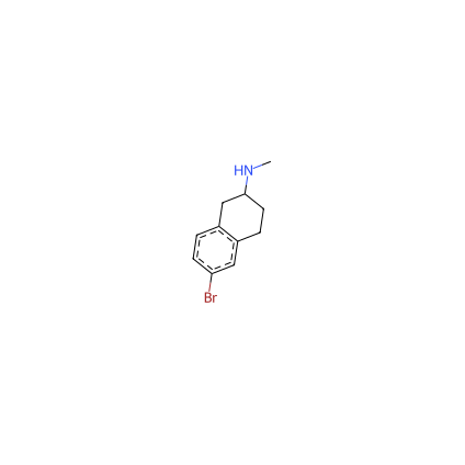 CNC1CCc2cc(Br)ccc2C1